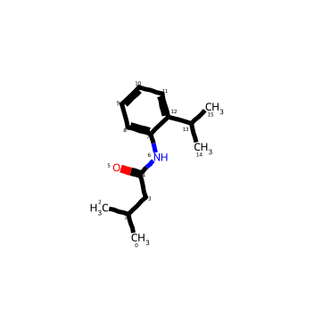 CC(C)CC(=O)Nc1ccccc1C(C)C